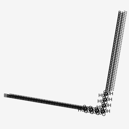 O=S(=O)(O)O.O=S(=O)(O)O.O=S(=O)(O)O.O=S(=O)(O)O.O=S(=O)(O)O.O=S(=O)(O)O.O=S(=O)(O)O.[Ba+2].[Ba+2].[Ba+2].[Ba+2].[Ba+2].[Ba+2].[Ba+2].[Ba+2].[Ba+2].[Ba+2].[Ba+2].[Ba+2].[Ba+2].[Ba+2].[Ba+2].[Ba+2].[Ba+2].[Ba+2].[Ba+2].[Ba+2].[Ba+2].[Ba+2].[Ba+2].[Ba+2].[Ba+2].[Ba+2].[Ba+2].[Ba+2].[Ba+2].[Ba+2].[Ba+2].[Ba+2].[Ba+2].[Ba+2].[Ba+2].[Ba+2].[Ba+2].[Ba+2].[Ba+2].[Ba+2].[Ba+2].[Ba+2].[Ba+2].[Ba+2].[Ba+2].[Ba+2].[Ba+2].[Ba+2].[Ba+2].[Ba+2].[Ba+2].[Ba+2].[Ba+2].[Ba+2].[Ba+2].[Ba+2].[Ba+2].[Ba+2].[Ba+2].[Ba+2].[Ba+2].[Ba+2].[Ba+2].[Ba+2].[Ba+2].[Ba+2].[Ba+2].[Ba+2].[Ba+2].[Ba+2].[Ba+2].[Ba+2].[Ba+2].[Ba+2].[Ba+2].[Ba+2].[Ba+2].[Ba+2].[Ba+2].[Ba+2].[Ba+2].[Ba+2].[Ba+2].[Ba+2].[Ba+2].[Ba+2].[Ba+2].[Ba+2].[Ba+2].[Ba+2].[Ba+2].[Ba+2].[Ba+2].[Ba+2].[Ba+2].[Ba+2].[Ba+2]